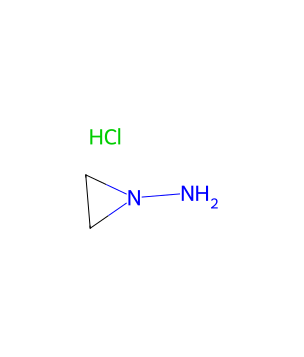 Cl.NN1CC1